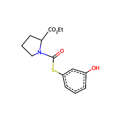 CCOC(=O)C1CCCN1C(=O)Sc1cccc(O)c1